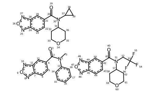 CN(C(=O)c1ccc2nonc2c1)c1ccccc1.O=C(c1ccc2nonc2c1)N(C1CCOCC1)C1CC1.O=C(c1ccc2nonc2c1)N(CC(F)(F)F)C1CCOCC1